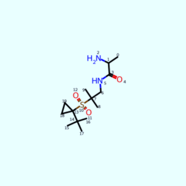 CC(N)C(=O)NCC(C)(C)S(=O)(=O)C1(C(C)(C)C)CC1